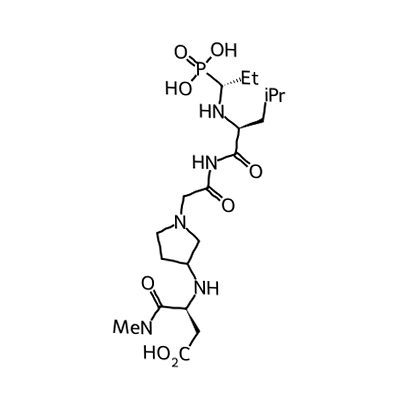 CC[C@H](N[C@@H](CC(C)C)C(=O)NC(=O)CN1CCC(N[C@@H](CC(=O)O)C(=O)NC)C1)P(=O)(O)O